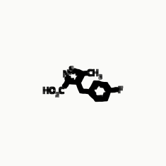 Cc1snc(C(=O)O)c1Cc1ccc(F)cc1